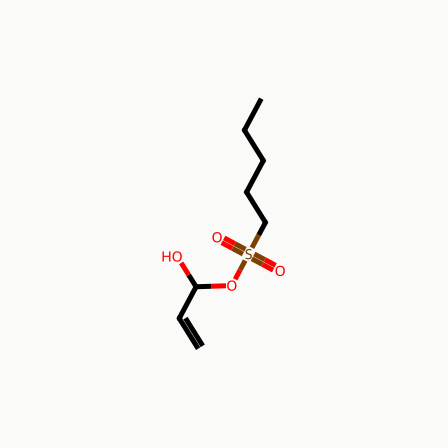 C=CC(O)OS(=O)(=O)CCCCC